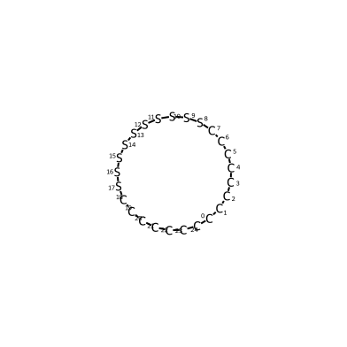 C1CCCCCCCSSSSSSSSSSCCCCCCC1